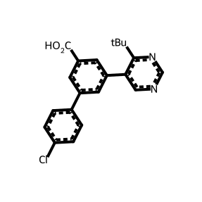 CC(C)(C)c1ncncc1-c1cc(C(=O)O)cc(-c2ccc(Cl)cc2)c1